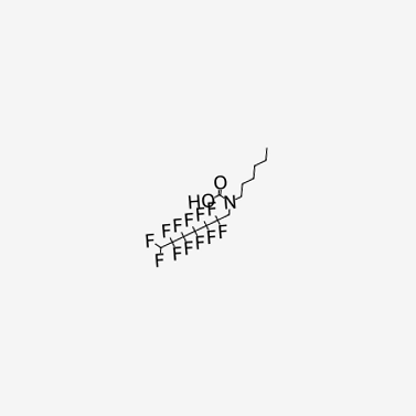 CCCCCCN(CC(F)(F)C(F)(F)C(F)(F)C(F)(F)C(F)(F)C(F)F)C(=O)O